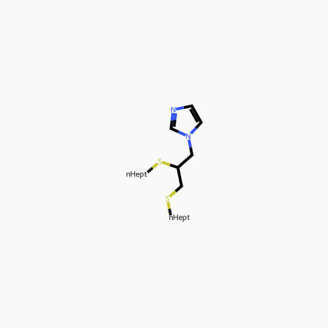 CCCCCCCSCC(Cn1ccnc1)SCCCCCCC